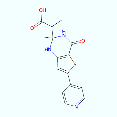 CC(C(=O)O)C1(C)NC(=O)c2sc(-c3ccncc3)cc2N1